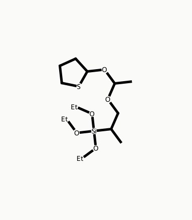 CCO[Si](OCC)(OCC)C(C)COC(C)OC1CCCS1